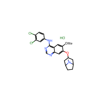 COc1cc2c(Nc3ccc(Cl)c(Cl)c3)ncnc2cc1OC1CC2CCC(C1)N2C.Cl